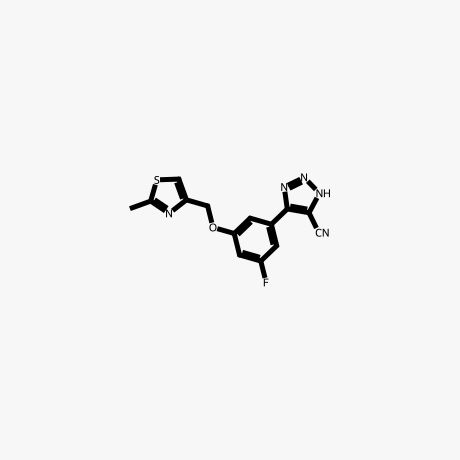 Cc1nc(COc2cc(F)cc(-c3nn[nH]c3C#N)c2)cs1